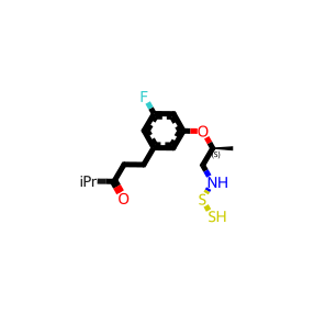 CC(C)C(=O)CCc1cc(F)cc(O[C@@H](C)CNSS)c1